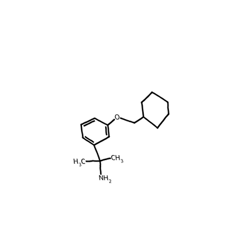 CC(C)(N)c1cccc(OCC2CCCCC2)c1